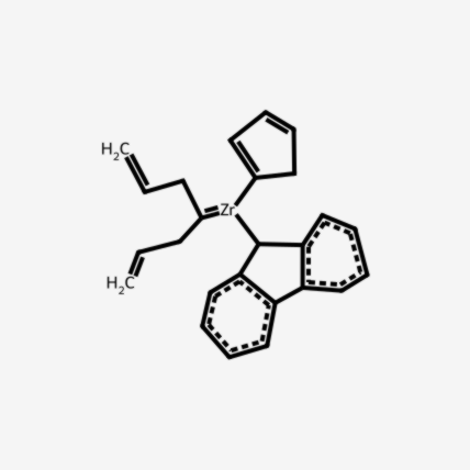 C=CC[C](CC=C)=[Zr]([C]1=CC=CC1)[CH]1c2ccccc2-c2ccccc21